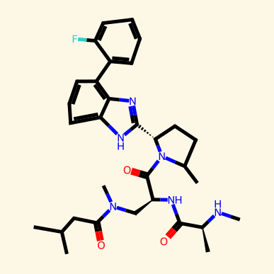 CN[C@@H](C)C(=O)N[C@@H](CN(C)C(=O)CC(C)C)C(=O)N1C(C)CC[C@H]1c1nc2c(-c3ccccc3F)cccc2[nH]1